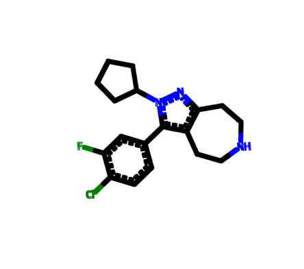 Fc1cc(-c2c3c(nn2C2CCCC2)CCNCC3)ccc1Cl